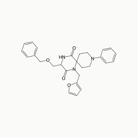 O=C1C(COCc2ccccc2)NC(=O)C2(CCN(c3ccccc3)CC2)N1Cc1ccco1